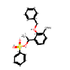 COc1cccc(C(OS(=O)(=O)c2ccccc2)C(Cl)(Cl)Cl)c1OCc1ccccc1